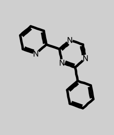 c1ccc(-c2ncnc(-c3ccccn3)n2)cc1